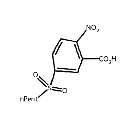 CCCCCS(=O)(=O)c1ccc([N+](=O)[O-])c(C(=O)O)c1